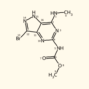 CNc1nc(NC(=O)OC)nc2c(Br)n[nH]c12